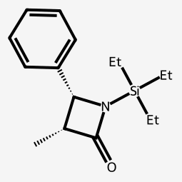 CC[Si](CC)(CC)N1C(=O)[C@H](C)[C@@H]1c1ccccc1